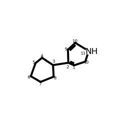 [CH]1C=C(C2CCCCC2)C=CN1